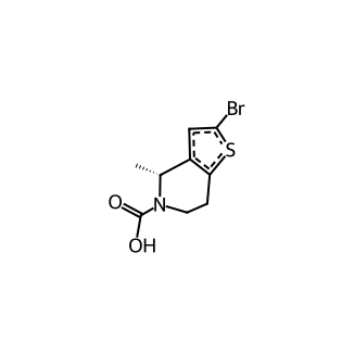 C[C@@H]1c2cc(Br)sc2CCN1C(=O)O